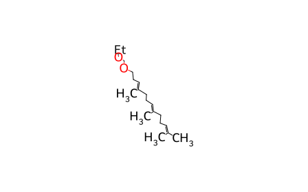 CCOCOCC/C=C(\C)CC/C=C(\C)CCC=C(C)C